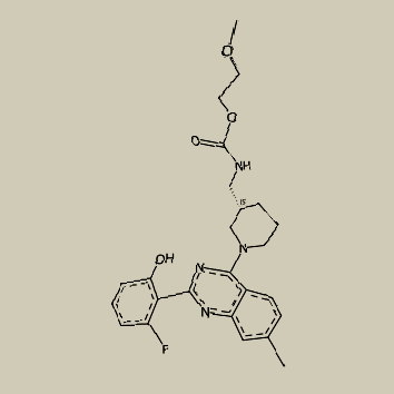 COCCOC(=O)NC[C@@H]1CCCN(c2nc(-c3c(O)cccc3F)nc3cc(C)ccc23)C1